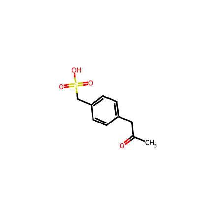 CC(=O)Cc1ccc(CS(=O)(=O)O)cc1